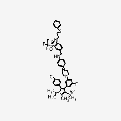 Cc1c([S+](C)[O-])c(-c2cc(F)cc(N3CCN(c4ccc(NSc5ccc(NCCSc6ccccc6)c(S(=O)(=O)C(F)(F)F)c5)cc4)CC3)c2)c(-c2ccc(Cl)cc2)n1C(C)C